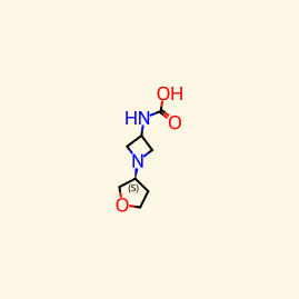 O=C(O)NC1CN([C@H]2CCOC2)C1